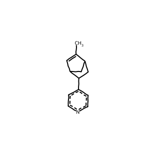 CC1=CC2CC1CC2c1ccncc1